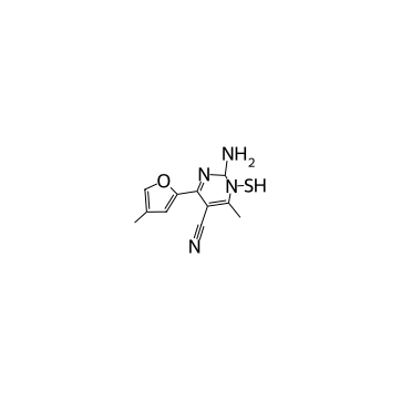 CC1=C(C#N)C(c2cc(C)co2)=NC(N)N1S